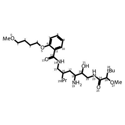 COCCCCOc1ccccc1C(=O)NCC(CC(N)C(O)CNC(=O)C(OC)C(C)(C)C)C(C)C